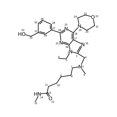 CCn1c(CN(C)CCCCCC(=O)NC)nc2c(N3CCOCC3)nc(-c3cccc(CO)c3)nc21